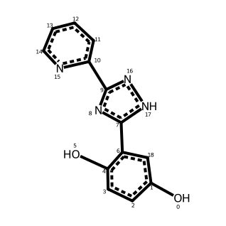 Oc1ccc(O)c(-c2nc(-c3ccccn3)n[nH]2)c1